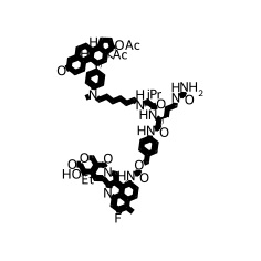 CC[C@@]1(O)C(=O)OCc2c1cc1n(c2=O)Cc2c-1nc1cc(F)c(C)c3c1c2[C@@H](NC(=O)OCc1ccc(NC(=O)[C@H](CCCNC(N)=O)NC(=O)[C@@H](NCCCCCCN(C)c2ccc([C@H]4C[C@@]5(C)[C@@H](CC[C@]5(OC(C)=O)C(C)=O)[C@@H]5CCC6=CC(=O)CCC6=C54)cc2)C(C)C)cc1)CC3